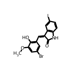 COc1cc(Br)cc(C=C2C(=O)Nc3ccc(I)cc32)c1O